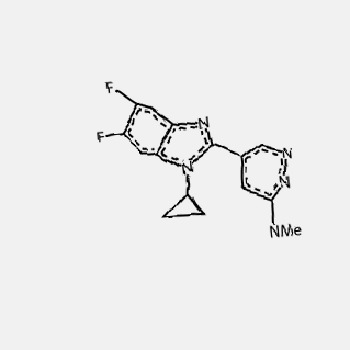 CNc1cc(-c2nc3cc(F)c(F)cc3n2C2CC2)cnn1